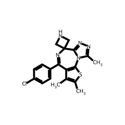 Cc1sc2c(c1C)C(c1ccc(Cl)cc1)=NC1(CNC1)c1nnc(C)n1-2